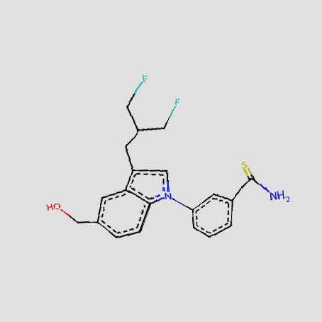 NC(=S)c1cccc(-n2cc(CC(CF)CF)c3cc(CO)ccc32)c1